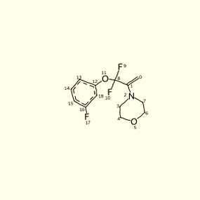 C=C(N1CCOCC1)C(F)(F)Oc1cccc(F)c1